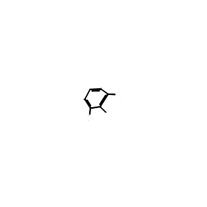 CCc1c(Br)cccc1C(C)=O